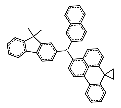 CC1(C)c2ccccc2-c2ccc(N(c3ccc4ccccc4c3)c3ccc4c5c(cccc35)C3(CC3)c3ccccc3-4)cc21